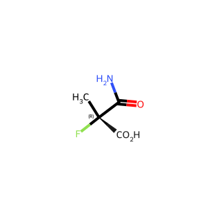 C[C@@](F)(C(N)=O)C(=O)O